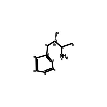 CC(N)[C@@H](C)Cc1ccccc1